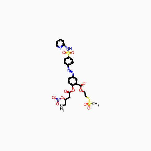 CCC(CC(=O)Oc1ccc(/N=N/c2ccc(S(=O)(=O)Nc3ccccn3)cc2)cc1C(=O)OCCSS(C)(=O)=O)O[N+](=O)[O-]